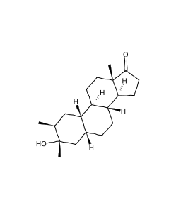 C[C@H]1C[C@H]2[C@H](CC[C@@H]3[C@@H]2CC[C@]2(C)C(=O)CC[C@@H]32)C[C@]1(C)O